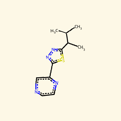 CC(C)C(C)c1nnc(-c2cnccn2)s1